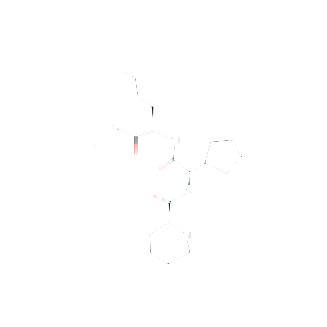 CCCC[C@@H](NC(=O)[C@H](NC(=O)[C@@H]1CCCCN1)C1CCCC1)C(=O)NC